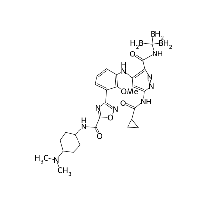 BC(B)(B)NC(=O)c1nnc(NC(=O)C2CC2)cc1Nc1cccc(-c2noc(C(=O)NC3CCC(N(C)C)CC3)n2)c1OC